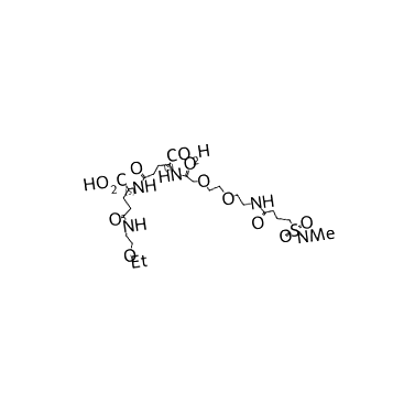 CCOCCNC(=O)CC[C@H](NC(=O)CC[C@H](NC(=O)COCCOCCNC(=O)CCCS(=O)(=O)NC)C(=O)O)C(=O)O